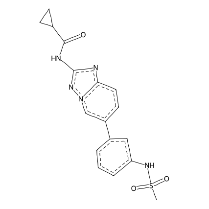 CS(=O)(=O)Nc1cccc(-c2ccc3nc(NC(=O)C4CC4)nn3c2)c1